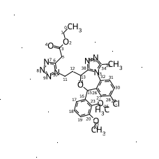 CCOC(=O)Cc1nnnn1CCC1OC(c2cccc(OC)c2OC)c2cc(Cl)ccc2-n2c(C)nnc21